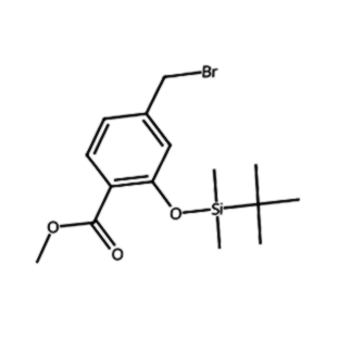 COC(=O)c1ccc(CBr)cc1O[Si](C)(C)C(C)(C)C